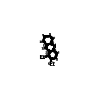 CCc1ccc2nc3ccccc3cc2c1CC